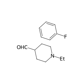 CCN1CCC(C=O)CC1.Fc1ccccc1